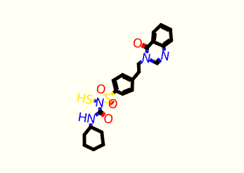 O=C(NC1CCCCC1)N(S)S(=O)(=O)c1ccc(CCn2cnc3ccccc3c2=O)cc1